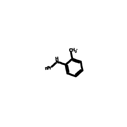 [CH2]c1ccccc1NCCC